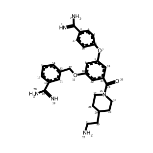 N=C(N)c1ccc(Oc2cc(OCc3cccc(C(=N)N)c3)cc(C(=O)N3CCC(CCN)CC3)c2)cc1